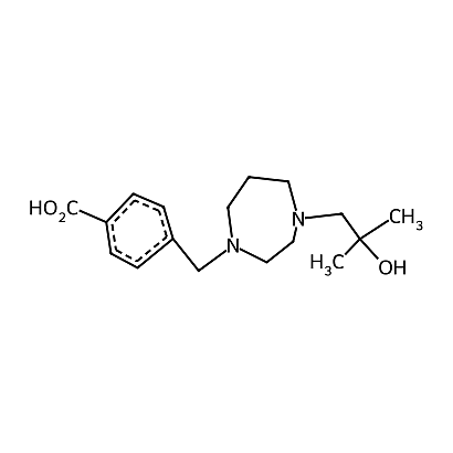 CC(C)(O)CN1CCCN(Cc2ccc(C(=O)O)cc2)CC1